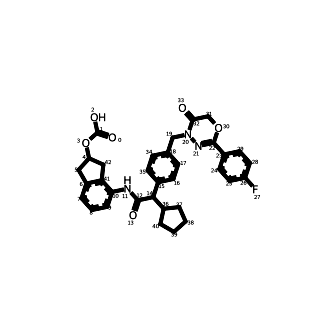 O=C(O)OC1Cc2cccc(NC(=O)C(c3ccc(CN4N=C(c5ccc(F)cc5)OCC4=O)cc3)C3CCCC3)c2C1